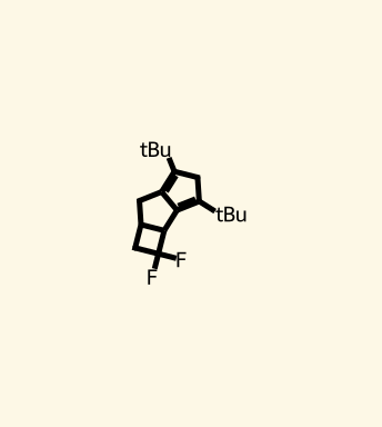 CC(C)(C)C1=C2CC3CC(F)(F)C3C2=C(C(C)(C)C)C1